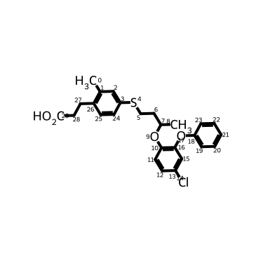 Cc1cc(SCCC(C)Oc2ccc(Cl)cc2Oc2ccccc2)ccc1CCC(=O)O